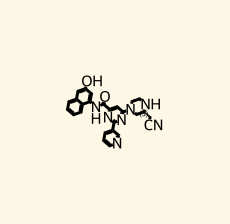 N#CC[C@H]1CN(c2cc(C(=O)Nc3cc(O)cc4ccccc34)nc(-c3cccnc3)n2)CCN1